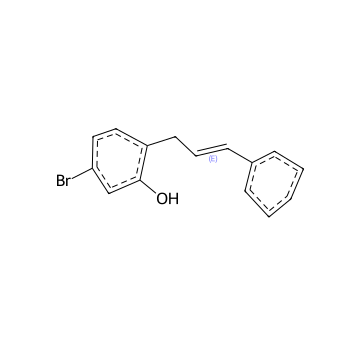 Oc1cc(Br)ccc1C/C=C/c1ccccc1